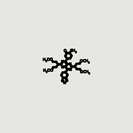 COCCN(CCOC)c1nc(N2CCn3cncc3C2)c2nc(N(CCOC)CCOC)nc(N3CCN(C)C(=O)C3)c2n1